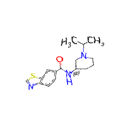 CC(C)N1CCC[C@@H](NC(=O)c2ccc3ncsc3c2)C1